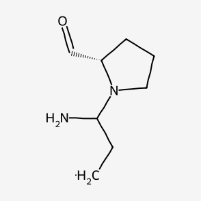 [CH2]CC(N)N1CCC[C@H]1C=O